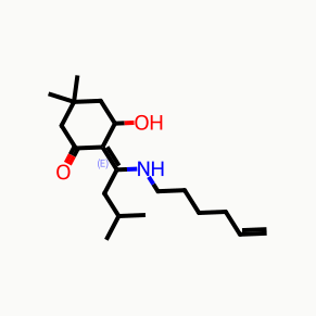 C=CCCCCN/C(CC(C)C)=C1/C(=O)CC(C)(C)CC1O